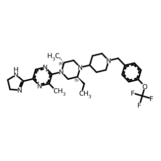 CC[C@H]1CN(c2ncc(C3=NCCN3)nc2C)[C@H](C)CN1C1CCN(Cc2ccc(OC(F)(F)F)cc2)CC1